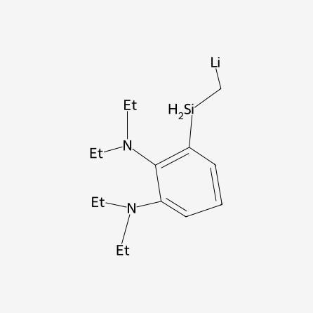 [Li][CH2][SiH2]c1cccc(N(CC)CC)c1N(CC)CC